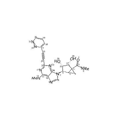 CNC(=O)C12CC1[C@@H](n1cnc3c(NC)nc(C#Cc4cccnn4)nc31)[C@H](O)[C@@H]2O